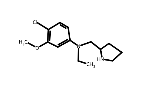 CCN(CC1CCCN1)c1ccc(Cl)c(OC)c1